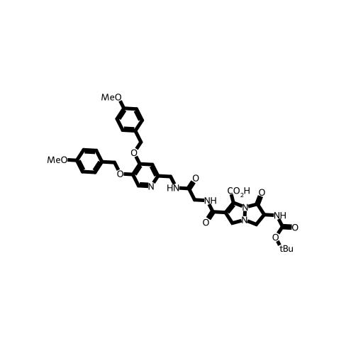 COc1ccc(COc2cnc(CNC(=O)CNC(=O)C3=C(C(=O)O)N4C(=O)C(NC(=O)OC(C)(C)C)CN4C3)cc2OCc2ccc(OC)cc2)cc1